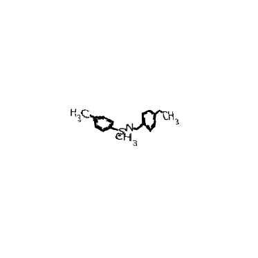 CCc1ccc(C/N=S(\C)c2ccc(C)cc2)cc1